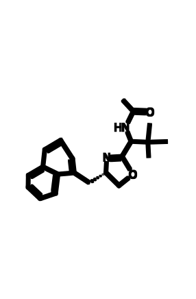 CC(=O)NC(C1=N[C@@H](Cc2cccc3ccccc23)CO1)C(C)(C)C